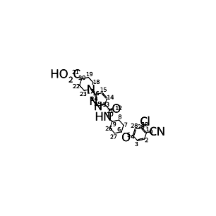 N#Cc1ccc(O[C@H]2CC[C@H](NC(=O)c3ccc(N4CCC(C(=O)O)CC4)nn3)CC2)cc1Cl